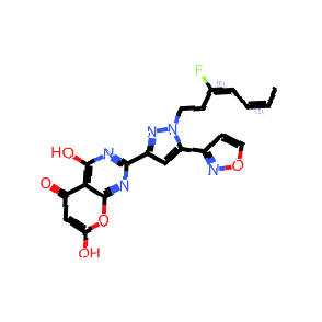 C/C=C\C=C(\F)CCn1nc(-c2nc(O)c3c(=O)cc(O)oc3n2)cc1-c1ccon1